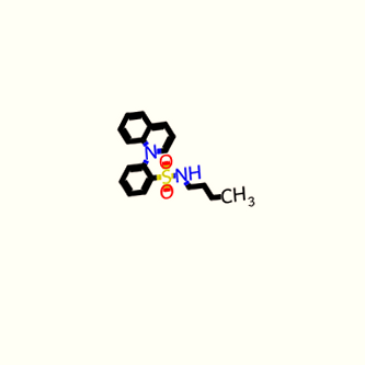 CCCCNS(=O)(=O)c1ccccc1N1C=CC=C2C=CC=CC21